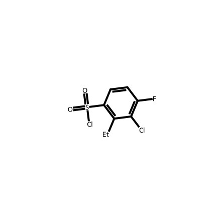 CCc1c(S(=O)(=O)Cl)ccc(F)c1Cl